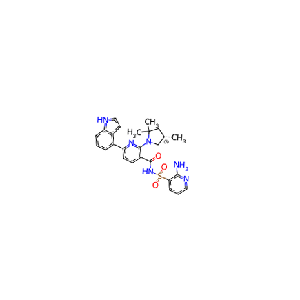 C[C@@H]1CN(c2nc(-c3cccc4[nH]ccc34)ccc2C(=O)NS(=O)(=O)c2cccnc2N)C(C)(C)C1